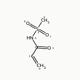 C=CC(=O)NS(C)(=O)=O